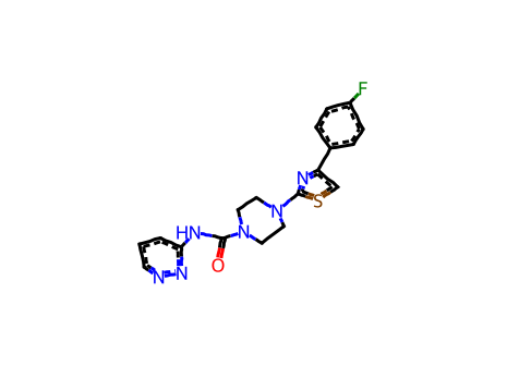 O=C(Nc1cccnn1)N1CCN(c2nc(-c3ccc(F)cc3)cs2)CC1